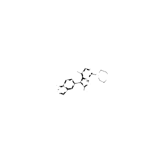 CC(C)c1nn2c(N3CCOCC3)ncc(F)c2c1-c1ccc2[nH]ncc2c1